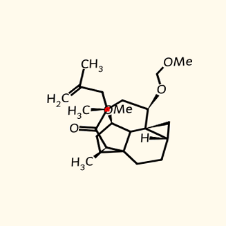 C=C(C)C[C@]1(C)C[C@@H](OCOC)[C@]23C[C@@H]2CCC2(CC[C@@H](OC)C23)[C@@H](C)C1=O